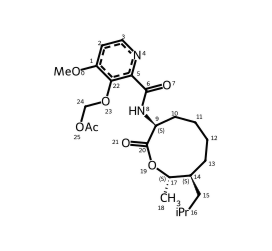 COc1ccnc(C(=O)N[C@H]2CCCC[C@@H](CC(C)C)[C@H](C)OC2=O)c1OCOC(C)=O